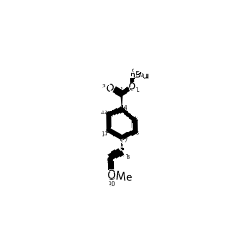 CCCCOC(=O)[C@H]1CC[C@H](/C=C/OC)CC1